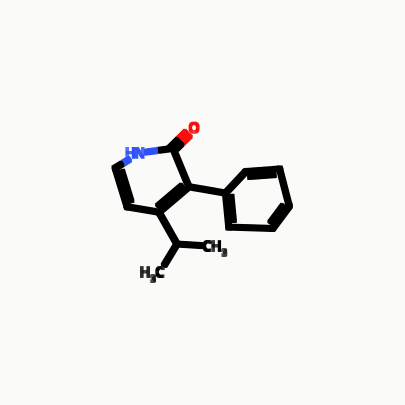 CC(C)c1cc[nH]c(=O)c1-c1ccccc1